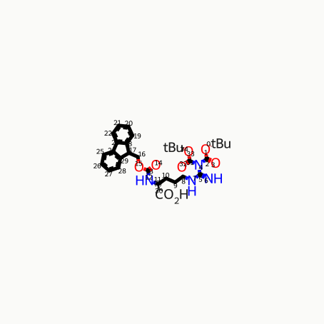 CC(C)(C)OC(=O)N(C(=N)NCCC[C@H](NC(=O)OCC1c2ccccc2-c2ccccc21)C(=O)O)C(=O)OC(C)(C)C